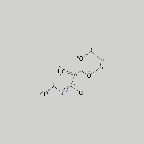 C=C(/C(Cl)=C\CCl)C1OCCCO1